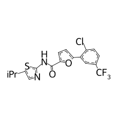 CC(C)c1cnc(NC(=O)c2ccc(-c3cc(C(F)(F)F)ccc3Cl)o2)s1